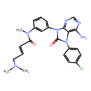 CN(C)C/C=C/C(=O)N(C)c1cccc(-n2c(=O)n(-c3ccc(Cl)cc3)c3c(N)ncnc32)c1